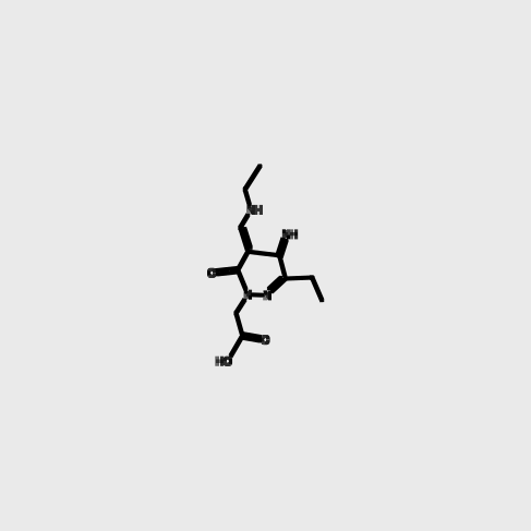 CCN/C=C1\C(=N)C(CC)=NN(CC(=O)O)C1=O